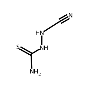 N#CNNC(N)=S